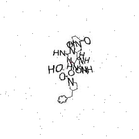 N=C1N[C@H]2[C@H](CN3C(=O)CCC3=O)NC(=N)N3C[C@](CO)(OC(=O)N4CCC(Cc5ccccc5)C4)[C@@H](O)C23N1